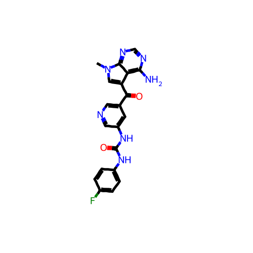 Cn1cc(C(=O)c2cncc(NC(=O)Nc3ccc(F)cc3)c2)c2c(N)ncnc21